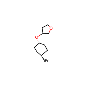 CC(C)[C@H]1CC[C@H](OC2CCOC2)CC1